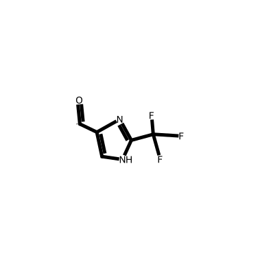 O=[C]c1c[nH]c(C(F)(F)F)n1